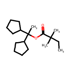 CCC(C)(C)C(=O)OC(C)(C1CCCC1)C1CCCC1